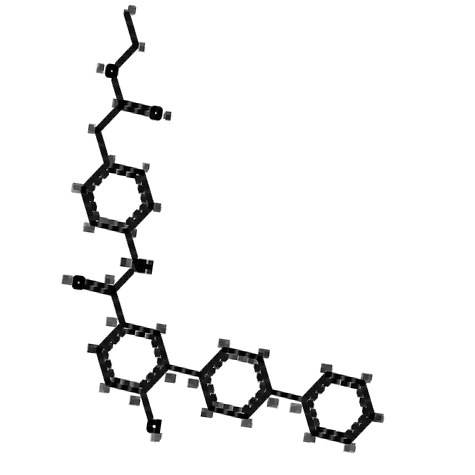 CCOC(=O)Cc1ccc(NC(=O)c2ccc(Cl)c(-c3ccc(-c4ccccc4)cc3)c2)cc1